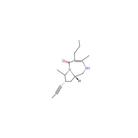 CC#C[C@H]1C[C@H]2CNC(C)=C(CCC)C(=O)N2C1C